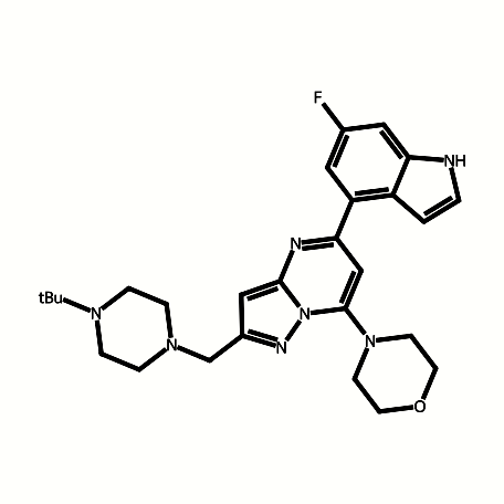 CC(C)(C)N1CCN(Cc2cc3nc(-c4cc(F)cc5[nH]ccc45)cc(N4CCOCC4)n3n2)CC1